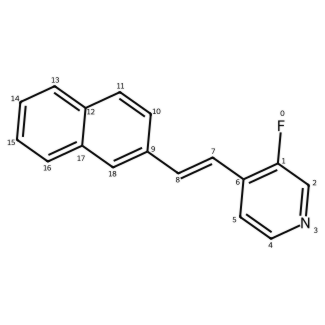 Fc1cnccc1/C=C/c1ccc2ccccc2c1